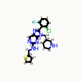 Fc1cccc(Cl)c1-c1nc2cnc(NCc3cccs3)nc2n1C[C@@H]1CCCNC1